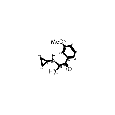 COc1cccc(C(=O)C(C)NC2CC2)c1